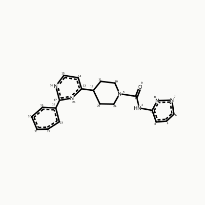 O=C(Nc1cccnn1)N1CCC(c2ccnc(-c3ccccc3)n2)CC1